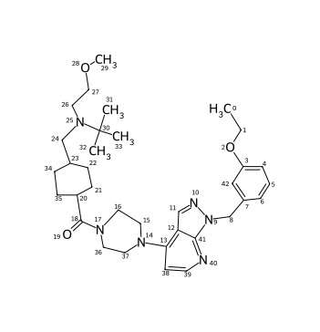 CCOc1cccc(Cn2ncc3c(N4CCN(C(=O)C5CCC(CN(CCOC)C(C)(C)C)CC5)CC4)ccnc32)c1